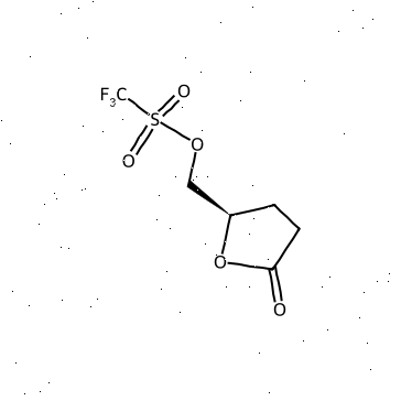 O=C1CC[C@H](COS(=O)(=O)C(F)(F)F)O1